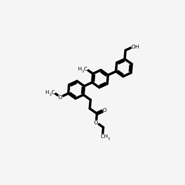 CCOC(=O)CCc1cc(OC)ccc1-c1ccc(-c2cccc(CO)c2)cc1C